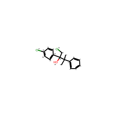 CC(C)(c1ccccc1)C(O)(CCl)c1ccc(Cl)cc1